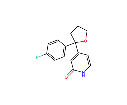 O=c1cc(C2(c3ccc(F)cc3)CCCO2)cc[nH]1